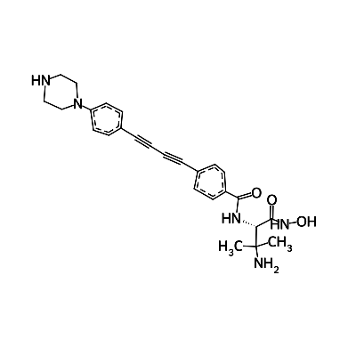 CC(C)(N)[C@H](NC(=O)c1ccc(C#CC#Cc2ccc(N3CCNCC3)cc2)cc1)C(=O)NO